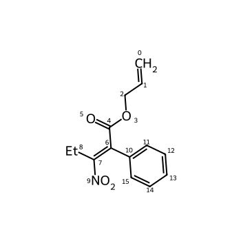 C=CCOC(=O)C(=C(CC)[N+](=O)[O-])c1ccccc1